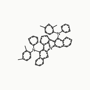 Cc1ccc(N(c2ccccc2)c2c3ccccc3cc3c2c2cccc4c5c(N(c6ccccc6)c6ccc(C)cc6C)c6ccccc6cc5n3c24)c(C)c1